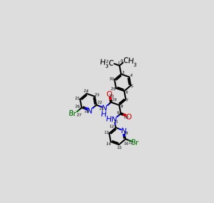 CC(C)c1ccc(C=C(C(=O)Nc2cccc(Br)n2)C(=O)Nc2cccc(Br)n2)cc1